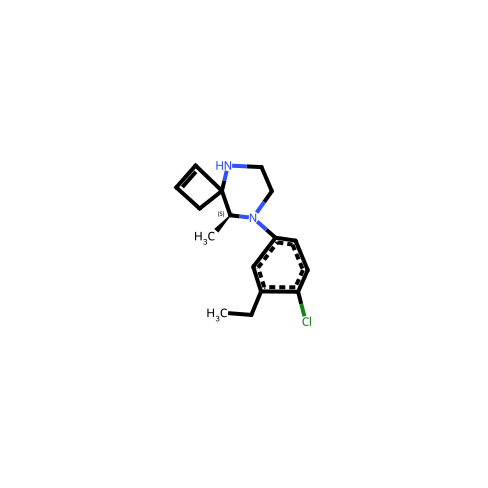 CCc1cc(N2CCNC3(C=CC3)[C@@H]2C)ccc1Cl